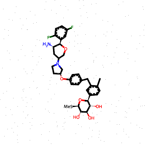 CS[C@H]1O[C@@H](c2ccc(C)c(Cc3ccc(O[C@@H]4CCN(C5CO[C@H](c6cc(F)ccc6F)[C@@H](N)C5)C4)cc3)c2)[C@H](O)[C@@H](O)[C@@H]1O